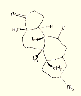 CC1CC[C@@]2(C)C(C1)CC(Cl)[C@@H]1[C@H]2CC[C@]2(C)C(=O)CC[C@@H]12